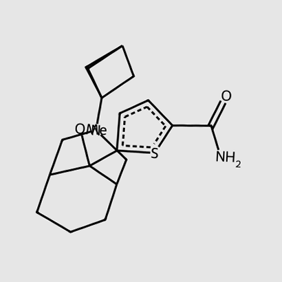 COC1(c2ccc(C(N)=O)s2)C2CCCC1CN(C13CC(C1)C3)C2